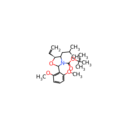 C=C[C@@H]1OC(c2c(OC)cccc2OC)N(C(=O)OC(C)(C)C)C1CC(C)C